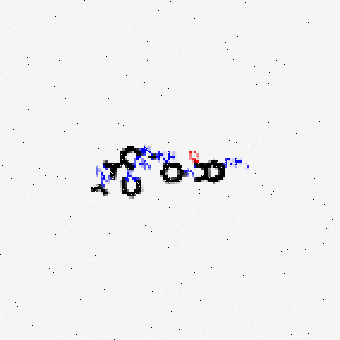 CC(C)n1cc(-c2ccc3nc(N[C@@H]4CCC[C@H](N5Cc6ccc(N)cc6C5=O)C4)nn3c2N2CCCCC2)cn1